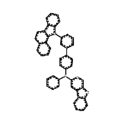 c1ccc(N(c2ccc(-c3cccc(-n4c5ccccc5c5ccc6ccccc6c54)c3)cc2)c2cc3c(cn2)oc2ccccc23)cc1